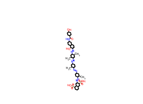 Cc1cc(N=Nc2cc(C)c(N=Nc3ccc4cc(NC(=O)c5ccc(O)cc5)ccc4c3O)cc2C)ccc1N=Nc1ccc(N=Nc2cc3c(S(=O)(=O)O)cccc3cc2S(=O)(=O)O)c(C)c1